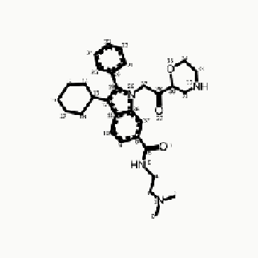 CN(C)CCNC(=O)c1ccc2c(C3CCCCC3)c(-c3ccccc3)n(CC(=O)C3CNCCO3)c2c1